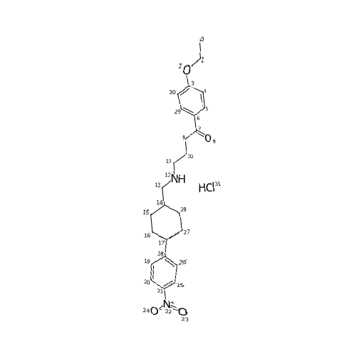 CCOc1ccc(C(=O)CCCNCC2CCC(c3ccc([N+](=O)[O-])cc3)CC2)cc1.Cl